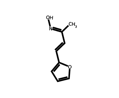 CC(C=Cc1ccco1)=NO